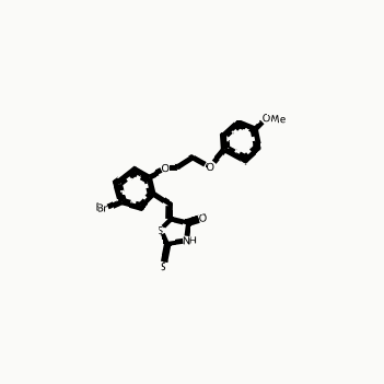 COc1ccc(OCCOc2ccc(Br)cc2/C=C2\SC(=S)NC2=O)cc1